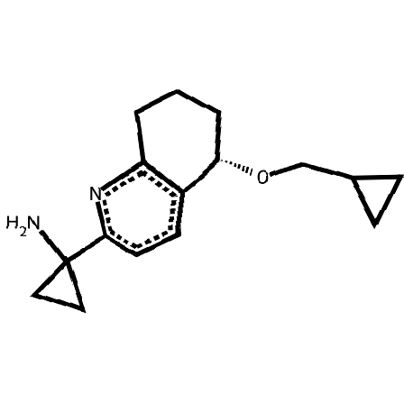 NC1(c2ccc3c(n2)CCC[C@@H]3OCC2CC2)CC1